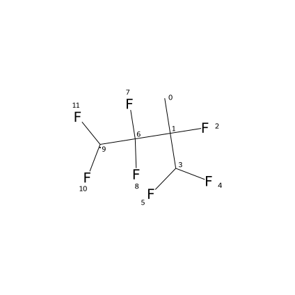 CC(F)(C(F)F)C(F)(F)[C](F)F